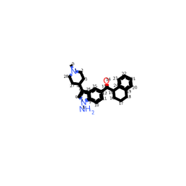 CN1CCC(c2cn(N)c3ccc(C(=O)C4CCCc5ccccc54)cc23)CC1